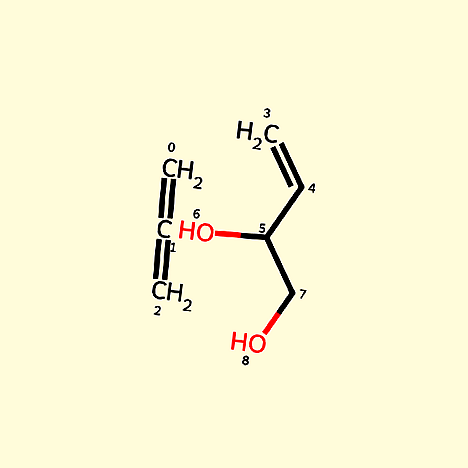 C=C=C.C=CC(O)CO